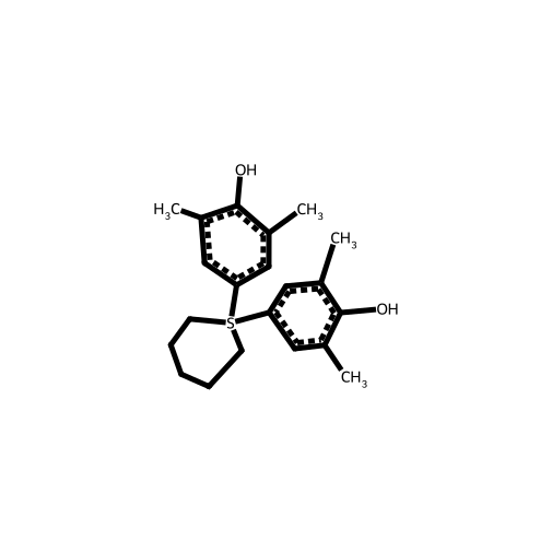 Cc1cc(S2(c3cc(C)c(O)c(C)c3)CCCCC2)cc(C)c1O